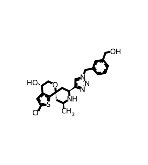 C[C@H]1C[C@@]2(C[C@@H](c3cn(Cc4cccc(CO)c4)nn3)N1)OC[C@@H](O)c1cc(Cl)sc12